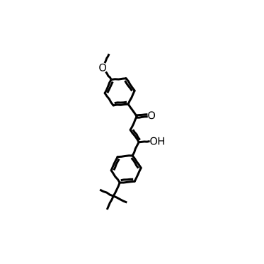 COc1ccc(C(=O)C=C(O)c2ccc(C(C)(C)C)cc2)cc1